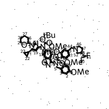 COc1ccc(CN(c2noc3cc(N(C(=O)OC(C)(C)C)c4cc(C5CC5)n(C5CCCCO5)n4)c(OC)cc23)S(=O)(=O)c2c(OC)cc(CN3CC[C@@H](C(F)F)C3)cc2OC)cc1